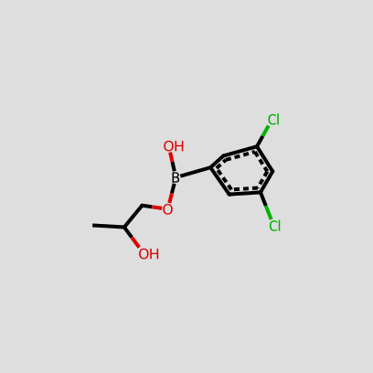 CC(O)COB(O)c1cc(Cl)cc(Cl)c1